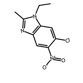 CCn1c(C)nc2cc([N+](=O)[O-])c(Cl)cc21